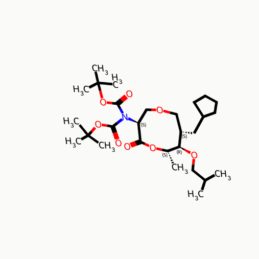 CC(C)CO[C@@H]1[C@@H](CC2CCCC2)COC[C@H](N(C(=O)OC(C)(C)C)C(=O)OC(C)(C)C)C(=O)O[C@H]1C